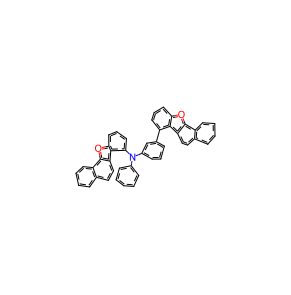 c1ccc(N(c2cccc(-c3cccc4oc5c6ccccc6ccc5c34)c2)c2cccc3oc4c5ccccc5ccc4c23)cc1